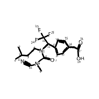 CC(C)CCN(C(=O)N(C)C#N)C(c1ccc(C(=O)O)cc1)C(F)(F)F